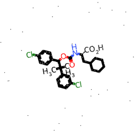 CC(C)(c1cccc(Cl)c1)C(OC(=O)N[C@@H](CC1CCCCC1)C(=O)O)c1ccc(Cl)cc1